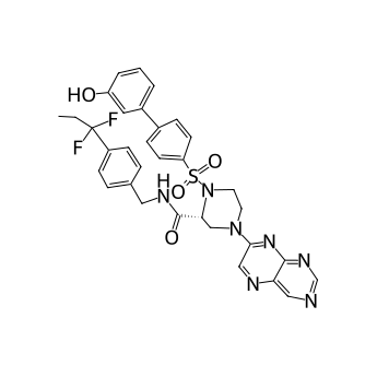 CCC(F)(F)c1ccc(CNC(=O)[C@H]2CN(c3cnc4cncnc4n3)CCN2S(=O)(=O)c2ccc(-c3cccc(O)c3)cc2)cc1